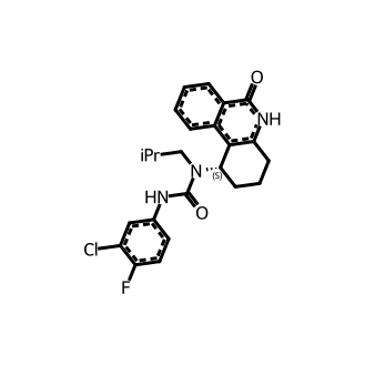 CC(C)CN(C(=O)Nc1ccc(F)c(Cl)c1)[C@H]1CCCc2[nH]c(=O)c3ccccc3c21